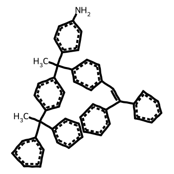 CC(c1ccccc1)(c1ccccc1)c1ccc(C(C)(c2ccc(N)cc2)c2ccc(C=C(c3ccccc3)c3ccccc3)cc2)cc1